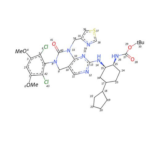 COc1cc(OC)c(Cl)c(N2Cc3cnc(N[C@@H]4CC(C5CCCC5)CC[C@@H]4NC(=O)OC(C)(C)C)nc3N(Cc3cscn3)C2=O)c1Cl